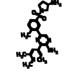 C=N/C(C)=C\C(=C/C)c1nc(-c2cc(S(=O)(=O)N3CC[C@@H](N)C3)ccc2C)cnc1N